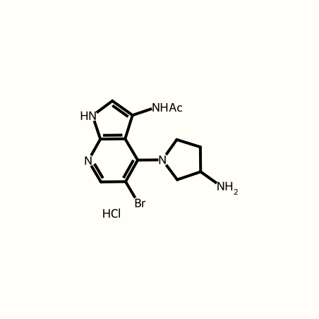 CC(=O)Nc1c[nH]c2ncc(Br)c(N3CCC(N)C3)c12.Cl